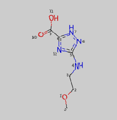 COCCNc1n[nH]c(C(=O)O)n1